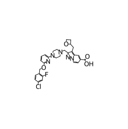 O=C(O)c1ccn2nc(CN3CCN(c4cccc(OCc5ccc(Cl)cc5F)n4)CC3)c(CC3CCO3)c2c1